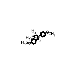 COc1ccc(N(Cc2ccc(SC)cc2)CC(C)(C)C)cc1